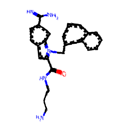 N=C(N)c1ccc2cc(C(=O)NCCCN)n(Cc3cccc4ccccc34)c2c1